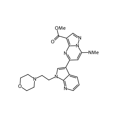 CNc1cc(-c2cn(CCN3CCOCC3)c3ncccc23)nc2c(C(=O)OC)cnn12